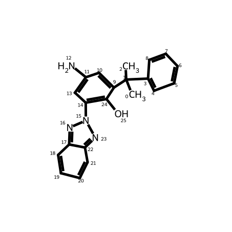 CC(C)(c1ccccc1)c1cc(N)cc(-n2nc3ccccc3n2)c1O